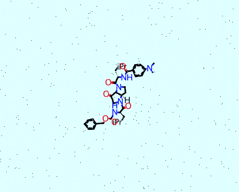 CC(C)C[C@H](NC(=O)c1ccc(N(C)C)cc1)C(=O)N1CC[C@@H]2C1C(=O)CN2C(=O)[C@@H](CC(C)C)NC(=O)OCc1ccccc1